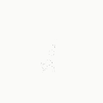 Cn1cnc2cc(-c3ccc(N4CCOCC4)cc3)nc(NCC3CC3)c2c1=O